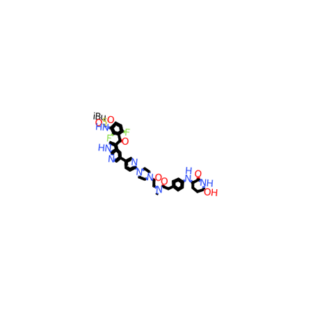 CCC(C)S(=O)(=O)Nc1ccc(F)c(C(=O)c2c[nH]c3ncc(-c4ccc(N5CCN(C(=O)CN(C)C(=O)Cc6ccc(NC7CCC(O)NC7=O)cc6)CC5)nc4)cc23)c1F